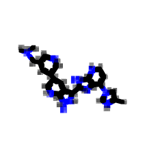 Cc1cn(-c2ccnc3[nH]c(-c4n[nH]c5ncc(-c6cncc(CN(C)C)c6)cc45)nc23)cn1